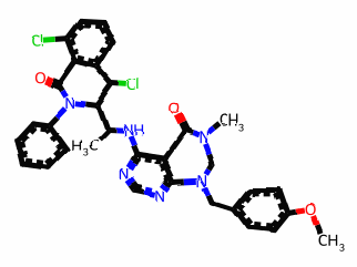 COc1ccc(CN2CN(C)C(=O)c3c(NC(C)C4C(Cl)c5cccc(Cl)c5C(=O)N4c4ccccc4)ncnc32)cc1